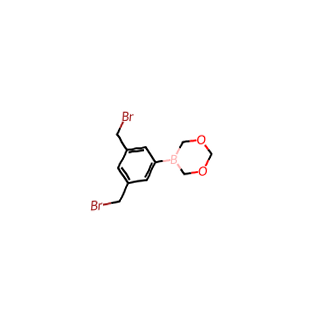 BrCc1cc(CBr)cc(B2COCOC2)c1